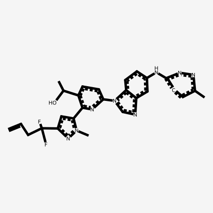 C=CCC(F)(F)c1cc(-c2nc(-n3cnc4cc(Nc5ccc(C)nn5)ccc43)ccc2C(C)O)n(C)n1